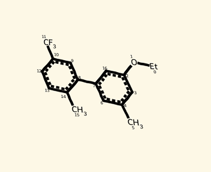 CCOc1cc(C)cc(-c2cc(C(F)(F)F)ccc2C)c1